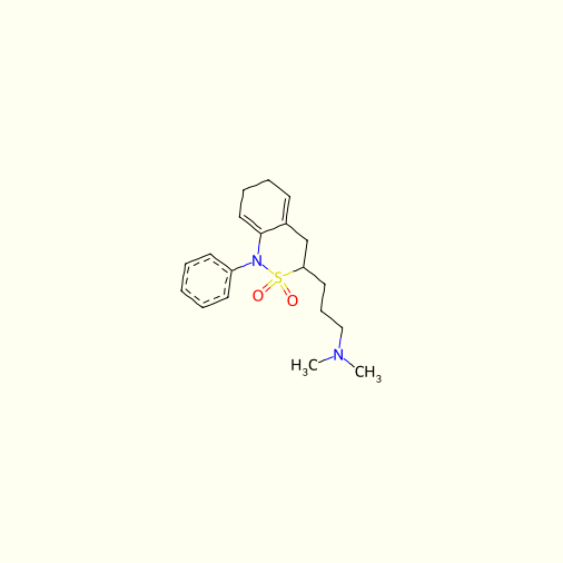 CN(C)CCCC1CC2=CCCC=C2N(c2ccccc2)S1(=O)=O